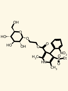 CCS(=O)(=O)C1=C(C)NC(C)=C(C(=O)OCCO[C@H]2O[C@H](CO)[C@@H](O)[C@H](O)[C@H]2O)C1c1ccccc1[N+](=O)[O-]